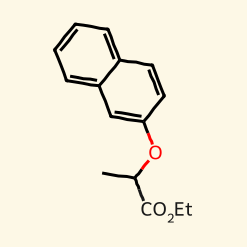 CCOC(=O)C(C)Oc1ccc2ccccc2c1